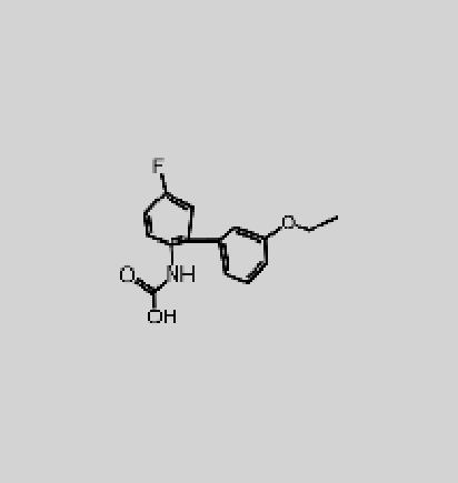 CCOc1cccc(-c2cc(F)ccc2NC(=O)O)c1